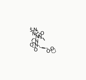 C=CCn1c(=O)c2cnc(SC)nc2n1-c1ccc2c(n1)N(CCC#CCOC1CCCCO1)C(=O)CO2